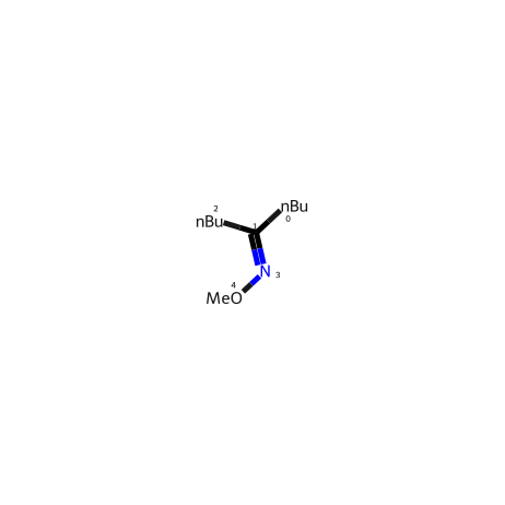 CCCCC(CCCC)=NOC